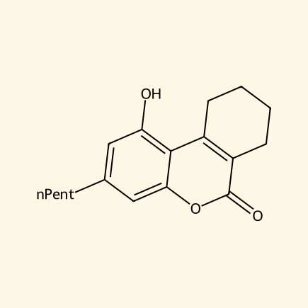 CCCCCc1cc(O)c2c3c(c(=O)oc2c1)CCCC3